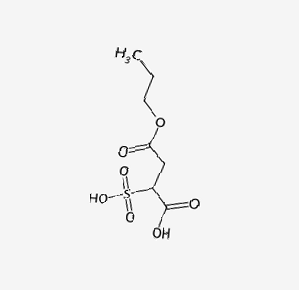 CCCOC(=O)CC(C(=O)O)S(=O)(=O)O